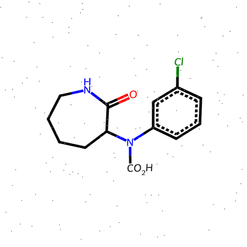 O=C1NCCCCC1N(C(=O)O)c1cccc(Cl)c1